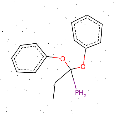 CCC(P)(Oc1ccccc1)Oc1ccccc1